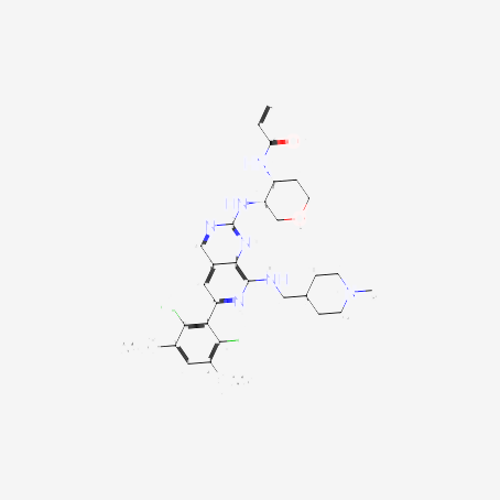 C=CC(=O)N[C@H]1CCOC[C@H]1Nc1ncc2cc(-c3c(Cl)c(OC)cc(OC)c3Cl)nc(NCC3CCN(C)CC3)c2n1